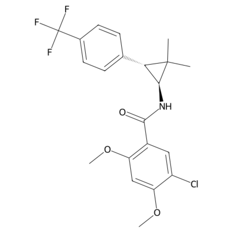 COc1cc(OC)c(C(=O)N[C@H]2[C@H](c3ccc(C(F)(F)F)cc3)C2(C)C)cc1Cl